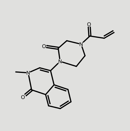 C=CC(=O)N1CCN(c2cn(C)c(=O)c3ccccc23)C(=O)C1